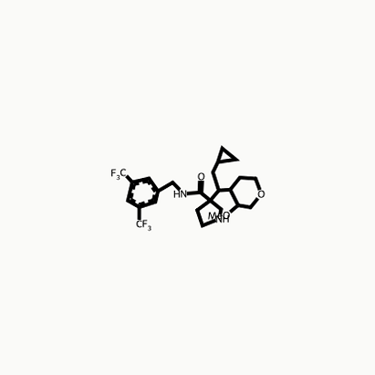 COC1COCCC1C(CC1CC1)C1(C(=O)NCc2cc(C(F)(F)F)cc(C(F)(F)F)c2)CCNC1